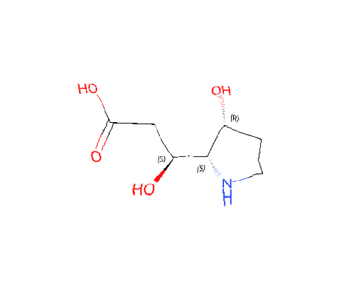 O=C(O)C[C@H](O)[C@H]1NCC[C@H]1O